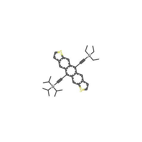 CC[Si](C#Cc1c2cc3ccsc3cc2c(C#C[Si](C(C)C)(C(C)C)C(C)C)c2cc3ccsc3cc12)(CC)CC